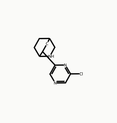 Clc1cncc(C2CC3CCC2NC3)n1